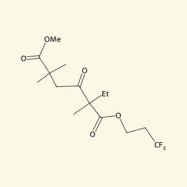 CCC(C)(C(=O)CC(C)(C)C(=O)OC)C(=O)OCCC(F)(F)F